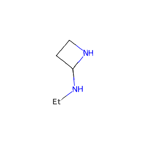 CCNC1CCN1